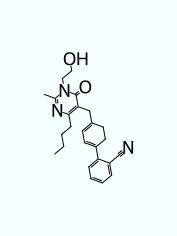 CCCCc1nc(C)n(CCO)c(=O)c1CC1=CC=C(c2ccccc2C#N)CC1